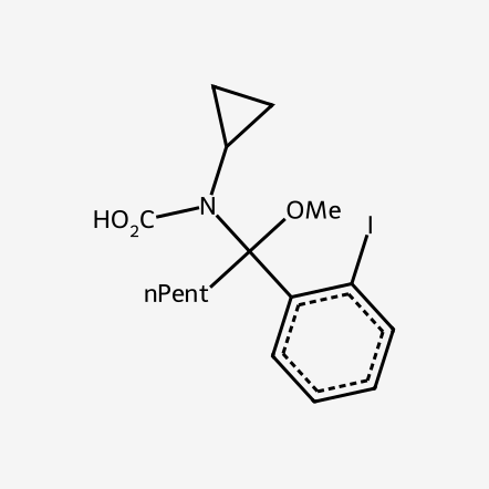 CCCCCC(OC)(c1ccccc1I)N(C(=O)O)C1CC1